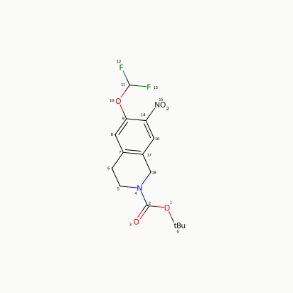 CC(C)(C)OC(=O)N1CCc2cc(OC(F)F)c([N+](=O)[O-])cc2C1